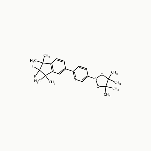 CC1(C)OB(c2ccc(-c3ccc4c(c3)C(C)(C)C(F)(F)C4(C)C)nc2)OC1(C)C